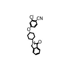 N#Cc1ccc(O[C@H]2CC[C@H](N3Cc4ccccc4C3=O)CC2)cc1Cl